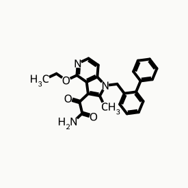 CCOc1nccc2c1c(C(=O)C(N)=O)c(C)n2Cc1ccccc1-c1ccccc1